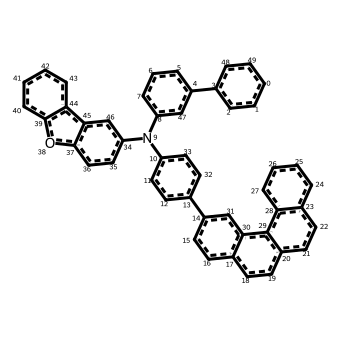 c1ccc(-c2cccc(N(c3ccc(-c4ccc5ccc6ccc7ccccc7c6c5c4)cc3)c3ccc4oc5ccccc5c4c3)c2)cc1